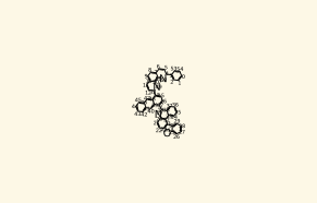 c1ccc(-c2ccc3ccc4ccc(-c5ccc(-c6nc7ccc8oc9ccccc9c8c7c7ccccc67)c6cc7ccccc7cc56)nc4c3n2)cc1